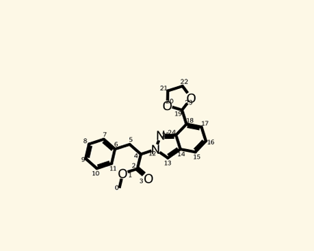 COC(=O)C(Cc1ccccc1)n1cc2cccc(C3OCCO3)c2n1